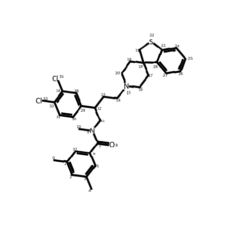 Cc1cc(C)cc(C(=O)N(C)CC(CCN2CCC3(CC2)CSc2ccccc23)c2ccc(Cl)c(Cl)c2)c1